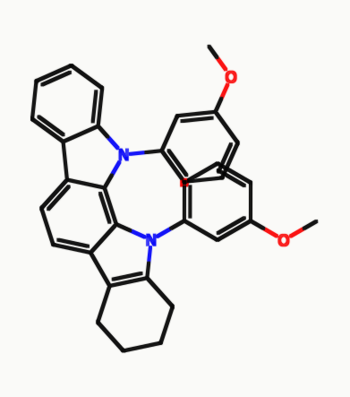 COc1cccc(-n2c3c(c4ccc5c6ccccc6n(-c6cccc(OC)c6)c5c42)CCCC3)c1